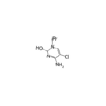 CC(C)N1C=C(Cl)C(N)=NC1O